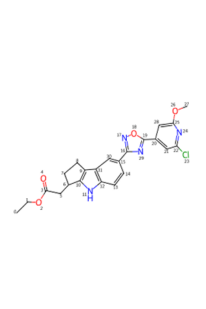 CCOC(=O)CC1CCc2c1[nH]c1ccc(-c3noc(-c4cc(Cl)nc(OC)c4)n3)cc21